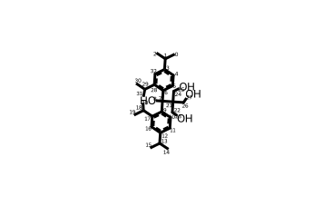 CC(C)c1ccc(C(O)(c2ccc(C(C)C)cc2C(C)C)C(CO)(CO)CO)c(C(C)C)c1